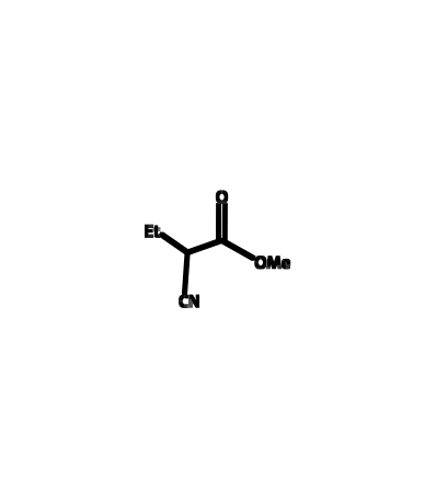 CCC(C#N)C(=O)OC